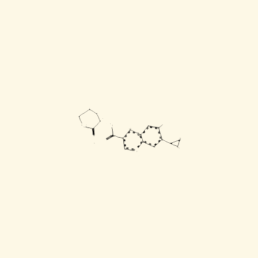 Cl.O=C(N[C@H]1CCCNC1=O)c1cnc2cc(C3CC3)c(Cl)cc2c1